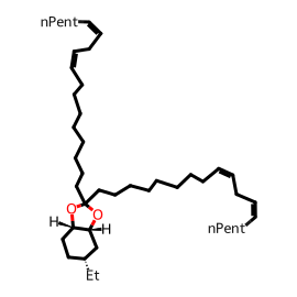 CCCCC/C=C\C/C=C\CCCCCCCCC1(CCCCCCCC/C=C\C/C=C\CCCCC)O[C@H]2CC[C@@H](CC)C[C@H]2O1